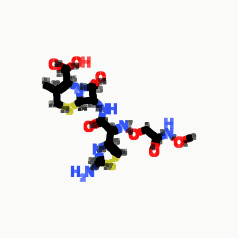 CONC(=O)CON=C(C(=O)NC1C(=O)N2C(C(=O)O)=C(C)CSC12)c1csc(N)n1